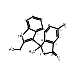 CC1(c2c(CO)[nH]c3ccccc23)NC(=O)c2cc(Br)ccc21